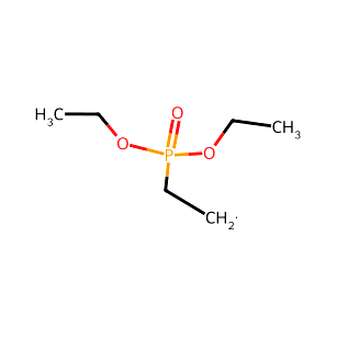 [CH2]CP(=O)(OCC)OCC